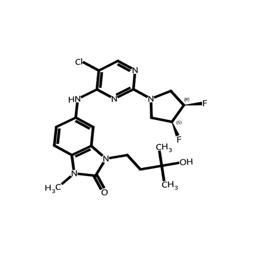 Cn1c(=O)n(CCC(C)(C)O)c2cc(Nc3nc(N4C[C@@H](F)[C@@H](F)C4)ncc3Cl)ccc21